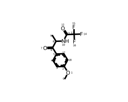 COc1ccc(C(=O)C(C)NC(=O)C(F)(F)F)cc1